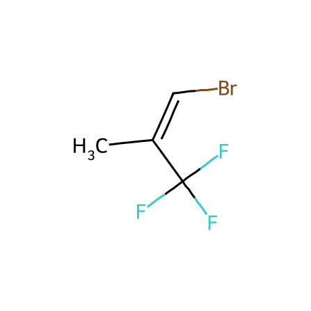 CC(=CBr)C(F)(F)F